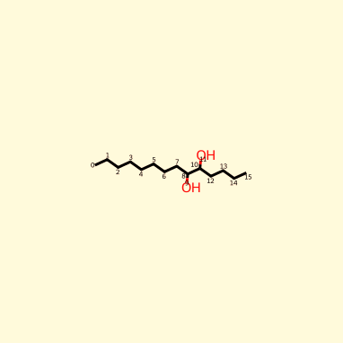 CCCCCCCCC(O)C(O)CCCC